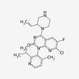 C=CC1CNCCN1c1nc(=O)n(-c2c(C)ccnc2C(C)C)c2nc(Cl)c(F)cc12